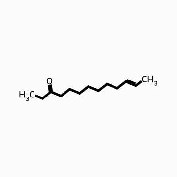 CC=CCCCCCCCC(=O)CC